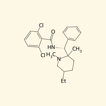 CCC1CCC(C)([C@H](NC(=O)c2c(Cl)cccc2Cl)c2ccccc2)N(C)C1